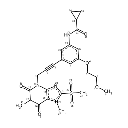 COCCOc1cc(C#CCN2C(=O)C(C)C(=O)c3c2nc(S(C)(=O)=O)n3C)cc(NC(=O)C2CC2)c1